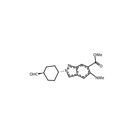 CNc1cc2cn([C@H]3CC[C@H](C=O)CC3)nc2cc1C(=O)OC